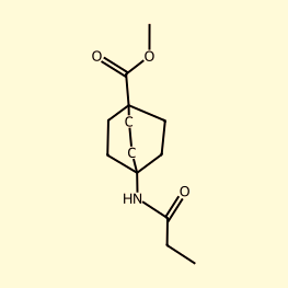 CCC(=O)NC12CCC(C(=O)OC)(CC1)CC2